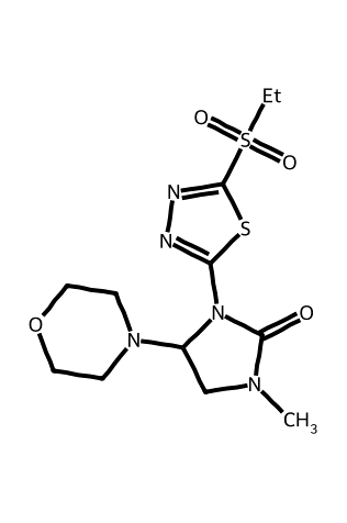 CCS(=O)(=O)c1nnc(N2C(=O)N(C)CC2N2CCOCC2)s1